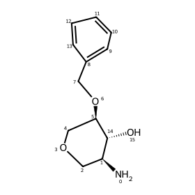 N[C@H]1COC[C@@H](OCc2ccccc2)[C@@H]1O